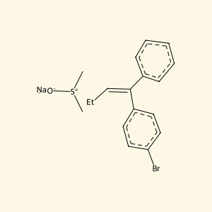 CCC=C(c1ccccc1)c1ccc(Br)cc1.C[S+](C)[O-].[Na]